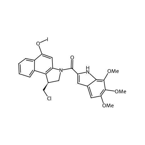 COc1cc2cc(C(=O)N3C[C@@H](CCl)c4c3cc(OI)c3ccccc43)[nH]c2c(OC)c1OC